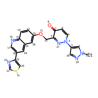 CCn1cc(-n2ccc(=O)c(COc3ccc4ncc(-c5cscn5)cc4c3)n2)cn1